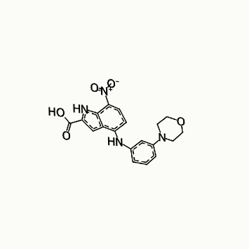 O=C(O)c1cc2c(Nc3cccc(N4CCOCC4)c3)ccc([N+](=O)[O-])c2[nH]1